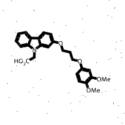 COc1ccc(OCCCOc2ccc3c4ccccc4n(CC(=O)O)c3c2)cc1OC